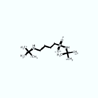 CC(C)(C)NCCCCS(=O)(=O)NC(C)(C)C